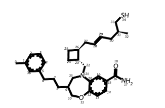 Cc1cccc(CCCC2COc3ccc(C(N)=O)cc3N(C[C@@H]3CC[C@H]3C/C=C/C[C@H](C)CS)C2)c1